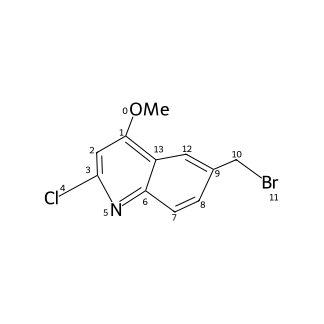 COc1cc(Cl)nc2ccc(CBr)cc12